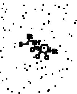 CCC([C]=S)NC(=O)N1CCN(CC)C(=O)C1=O